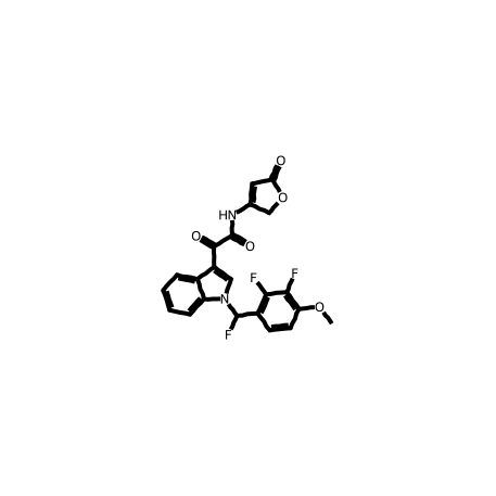 COc1ccc(C(F)n2cc(C(=O)C(=O)NC3=CC(=O)OC3)c3ccccc32)c(F)c1F